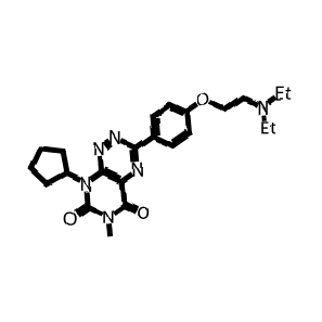 CCN(CC)CCOc1ccc(-c2nnc3c(n2)c(=O)n(C)c(=O)n3C2CCCC2)cc1